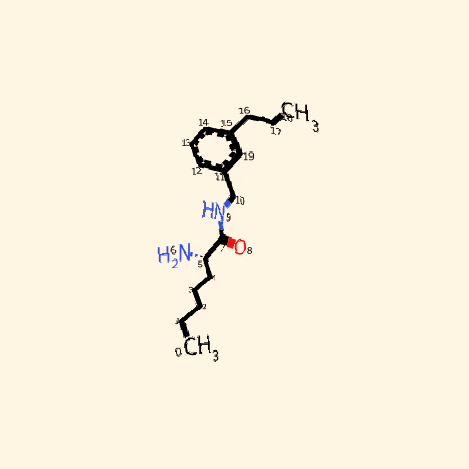 CCCCC[C@H](N)C(=O)NCc1cccc(CCC)c1